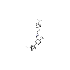 CCn1nnc(-c2ccc(OC)c(/C=C/CCC3CSC(C(C)C)=N3)c2)n1